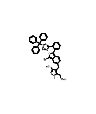 CCCCc1n[nH]c(COC)c1Cc1ccc2c(-c3ccccc3-c3nnn(C(c4ccccc4)(c4ccccc4)c4ccccc4)n3)oc(Br)c2c1